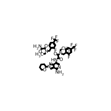 CCN(Cc1ccc(C(F)(F)F)cc1F)C(=O)C(=O)Nc1cnc(N)c2cn(C3CCCCO3)nc12.CCN(Cc1ccc(C(F)(F)F)cc1F)C(=O)C(N)=O